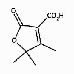 CC1=C(C(=O)O)C(=O)OC1(C)C